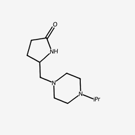 CC(C)N1CCN(CC2CCC(=O)N2)CC1